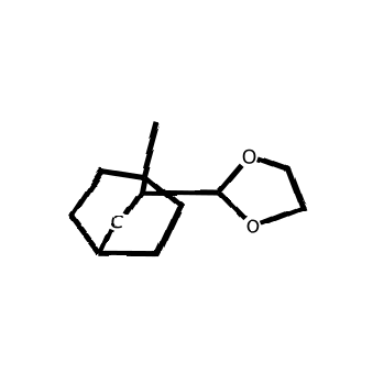 CC12CCC(CC1)CC2C1OCCO1